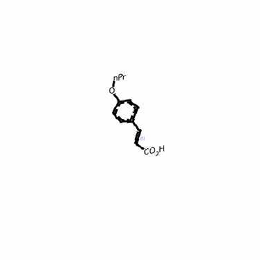 CCCOc1ccc(/C=C/C(=O)O)cc1